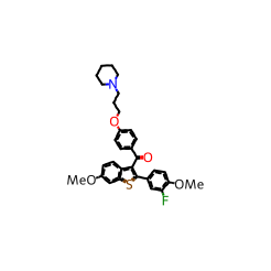 COc1ccc2c(C(=O)c3ccc(OCCCN4CCCCC4)cc3)c(-c3ccc(OC)c(F)c3)sc2c1